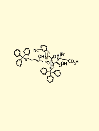 CC(C)[C@@H](NC(=O)[C@@H](CSC(c1ccccc1)(c1ccccc1)c1ccccc1)NC(=O)[C@@H](Cc1cccc(C#N)c1)NC(=O)C[C@H](O)C=CCCSC(c1ccccc1)(c1ccccc1)c1ccccc1)[C@@H](O)CC(=O)O